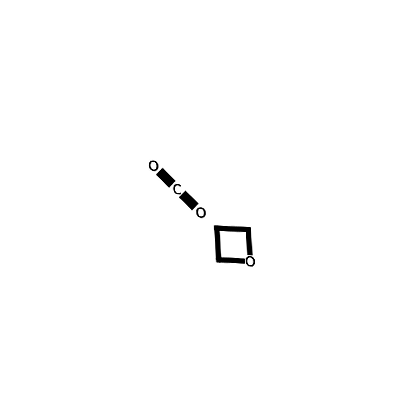 C1COC1.O=C=O